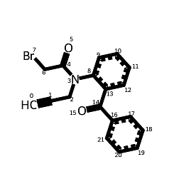 C#CCN(C(=O)CBr)c1ccccc1C(=O)c1ccccc1